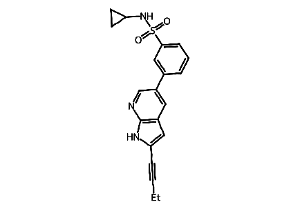 CCC#Cc1cc2cc(-c3cccc(S(=O)(=O)NC4CC4)c3)cnc2[nH]1